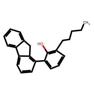 CCCCCc1cccc(-c2cccc3c2Cc2ccccc2-3)c1O